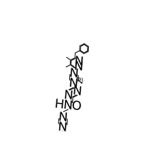 Cc1c(Cc2ccccc2)nnc(N2CCN(c3cnc(C(=O)NCCN4CCN(C)CC4)cn3)[C@H](C)C2)c1C